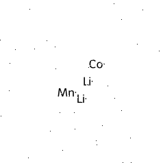 [Co].[Li].[Li].[Mn]